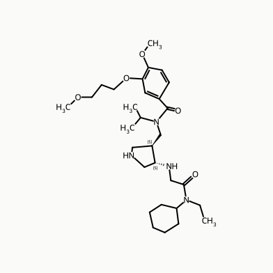 CCN(C(=O)CN[C@@H]1CNC[C@H]1CN(C(=O)c1ccc(OC)c(OCCCOC)c1)C(C)C)C1CCCCC1